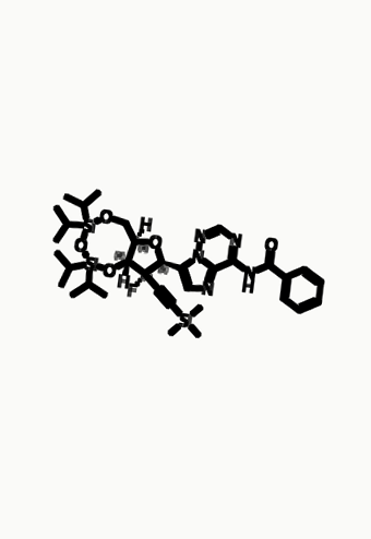 CC(C)[Si]1(C(C)C)OC[C@H]2O[C@@H](c3cnc4c(NC(=O)c5ccccc5)ncnn34)[C@@](F)(C#C[Si](C)(C)C)[C@@H]2O[Si](C(C)C)(C(C)C)O1